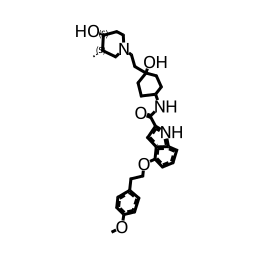 COc1ccc(CCOc2cccc3[nH]c(C(=O)NC4CCC(O)(CCN5CC[C@H](O)[C@@H](C)C5)CC4)cc23)cc1